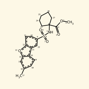 COC(=O)C1(NS(=O)(=O)c2ccc3oc4cc(C)ccc4c3c2)CCCCC1